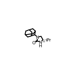 CC(C)[C@H]1CN(C2C3CC4CC(C3)CC2C4)C(=O)N1